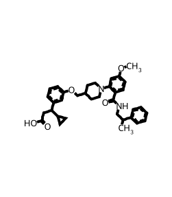 COc1ccc(C(=O)NCC(C)c2ccccc2)c(N2CCC(COc3cccc(C(CC(=O)O)C4CC4)c3)CC2)c1